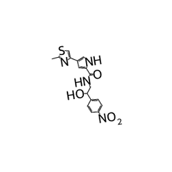 Cc1nc(-c2c[nH]c(C(=O)NCC(O)c3ccc([N+](=O)[O-])cc3)c2)cs1